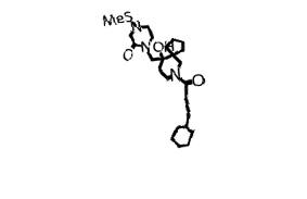 CSN1CCN(CC2(O)CCN(C(=O)CCC3CCCCC3)CC23CCCC3)C(=O)C1